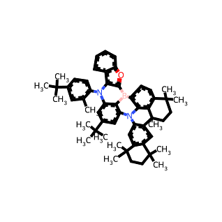 Cc1cc(C(C)(C)C)ccc1N1c2cc(C(C)(C)C)cc3c2B(c2ccc4c5c2N3c2cc3c(cc2C5(C)CCC4(C)C)C(C)(C)CCC3(C)C)c2oc3ccccc3c21